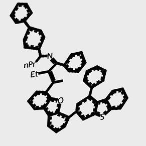 CCCC(/N=C(\C(CC)=C(/C)c1cccc2c1oc1c(-c3cc(-c4ccccc4)c4c(c3)sc3ccccc34)cccc12)c1ccccc1)c1ccc(-c2ccccc2)cc1